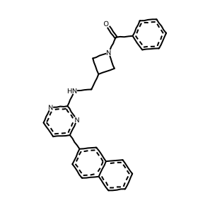 O=C(c1ccccc1)N1CC(CNc2nccc(-c3ccc4ccccc4c3)n2)C1